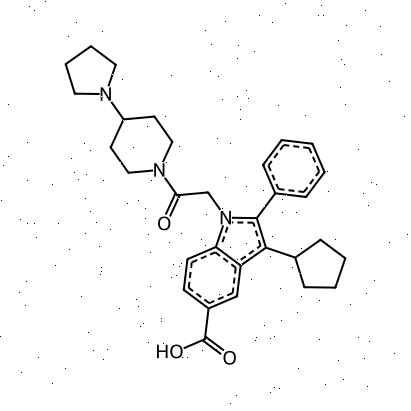 O=C(O)c1ccc2c(c1)c(C1CCCC1)c(-c1ccccc1)n2CC(=O)N1CCC(N2CCCC2)CC1